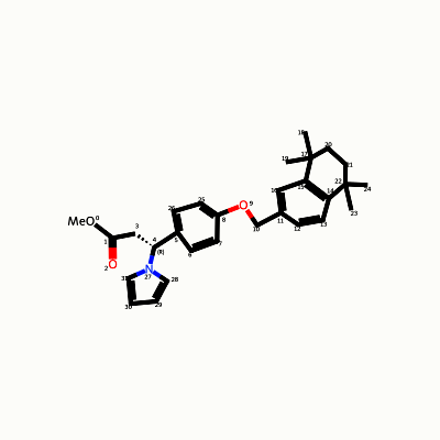 COC(=O)C[C@H](c1ccc(OCc2ccc3c(c2)C(C)(C)CCC3(C)C)cc1)n1cccc1